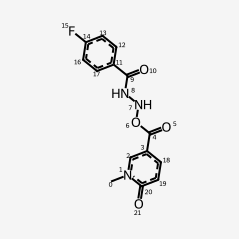 Cn1cc(C(=O)ONNC(=O)c2ccc(F)cc2)ccc1=O